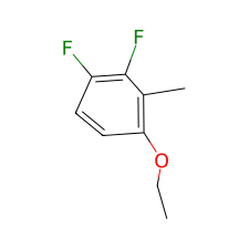 CCOc1ccc(F)c(F)c1C